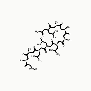 CCC(C)NCC(=O)N(CC(=O)N(CC(=O)N(CC(=O)N(CC(=O)N(CC(=O)N(CC(=O)N(CC(=O)N(CC(=O)N(CC(N)=O)CC(C)O)C(C)CC)C(C)CC)C(C)CC)CC(C)O)CC(C)O)CC(C)O)C(C)CC)C(C)CC